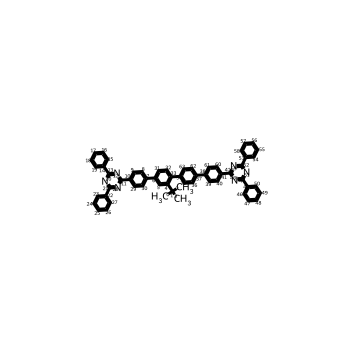 CC(C)(C)c1cc(-c2ccc(-c3nc(-c4ccccc4)nc(-c4ccccc4)n3)cc2)ccc1-c1ccc(-c2ccc(-c3nc(-c4ccccc4)nc(-c4ccccc4)n3)cc2)cc1